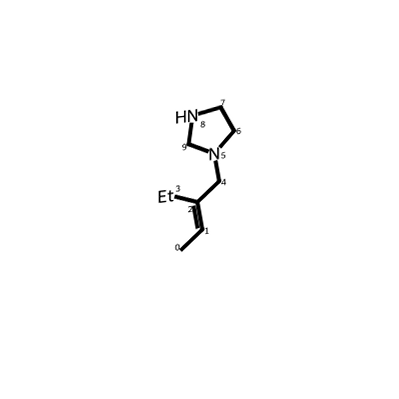 C/C=C(\CC)CN1CCNC1